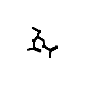 COC(COC(C)=O)OC(C)=O